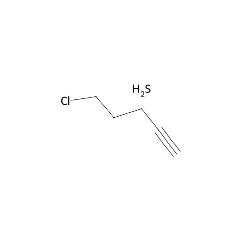 C#CCCCCl.S